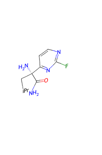 CC(C)C[C@](N)(C(N)=O)c1ccnc(F)n1